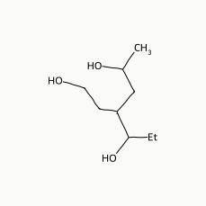 CCC(O)[C](CCO)CC(C)O